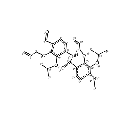 C=CCOc1c(C=O)ccc(NC(=O)c2ccc(NC)c(OC(C)C)c2OCC=C)c1OC(C)C